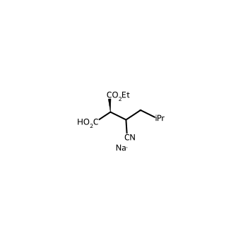 CCOC(=O)[C@H](C(=O)O)C(C#N)CC(C)C.[Na]